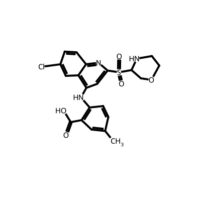 Cc1ccc(Nc2cc(S(=O)(=O)C3COCCN3)nc3ccc(Cl)cc23)c(C(=O)O)c1